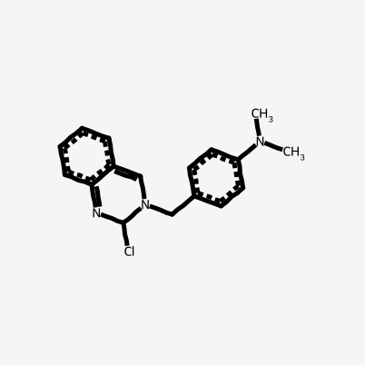 CN(C)c1ccc(CN2C=c3ccccc3=NC2Cl)cc1